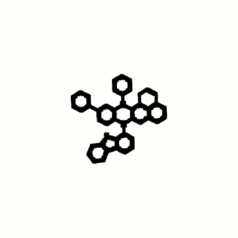 C1=Cc2cccc3cc4c(c(c23)C1)N(c1ccccc1)c1cc(-c2ccccc2)ccc1N4c1cccc2c1sc1ccccc12